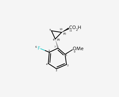 COc1cccc(F)c1[C@@H]1C[C@H]1C(=O)O